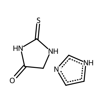 O=C1CNC(=S)N1.c1c[nH]cn1